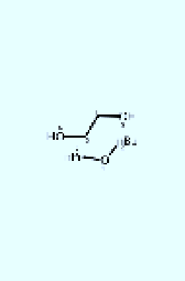 CCCCOCCC.OCCO